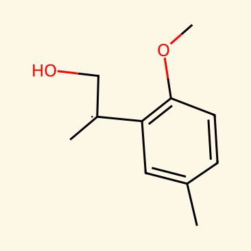 COc1ccc(C)cc1[C](C)CO